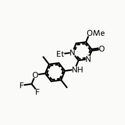 CCn1cc(OC)c(=O)nc1Nc1cc(C)c(OC(F)F)cc1C